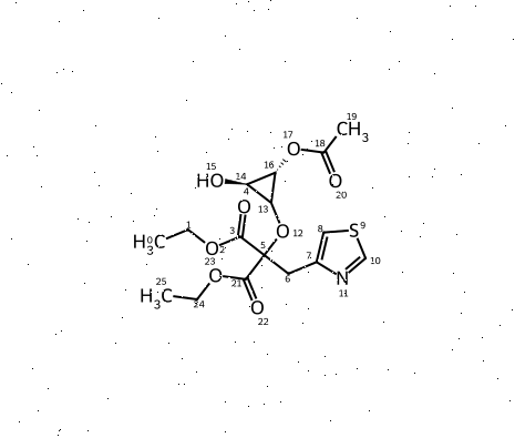 CCOC(=O)C(Cc1cscn1)(OC1[C@@H](O)[C@@H]1OC(C)=O)C(=O)OCC